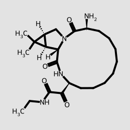 CCNC(=O)C(=O)[C@@H]1CCCCCCCC[C@H](N)C(=O)N2C[C@H]3[C@@H]([C@H]2C(=O)N1)C3(C)C